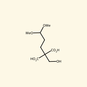 COC(CCC(CO)(C(=O)O)C(=O)O)OC